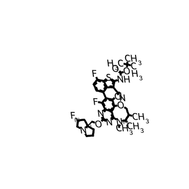 CC1COc2c(Cl)c(-c3ccc(F)c4sc(NC(=O)OC(C)(C)C)c(C#N)c34)c(F)c3nc(OC[C@@]45CCCN4C[C@H](F)C5)nc(c23)N(C)[C@@H]1C